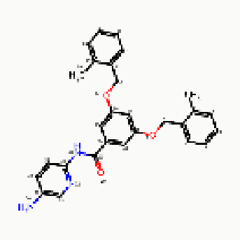 Cc1ccccc1COc1cc(OCc2ccccc2C)cc(C(=O)Nc2ccc(N)cn2)c1